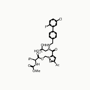 COC(=O)NC(C(=O)OCn1nc(C(C)=O)cc1C(=O)N(CC(O)C(=O)O)NCc1ccc(-c2cc(Cl)ccc2F)cc1)C(C)C